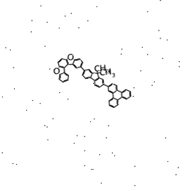 CC1(C)c2cc(-c3ccc4c5ccccc5c5ccccc5c4c3)ccc2-c2ccc(-c3ccc4oc5ccc6oc7ccccc7c6c5c4c3)cc21